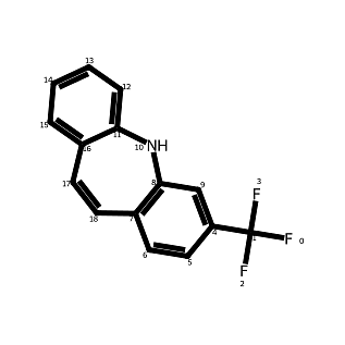 FC(F)(F)c1ccc2c(c1)Nc1ccccc1C=C2